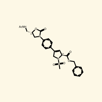 CC(=O)NC[C@H]1CN(c2ccc(C3=C[C@@H](C(=O)OCc4ccccc4)N(S(C)(=O)=O)C3)cc2)C(=O)O1